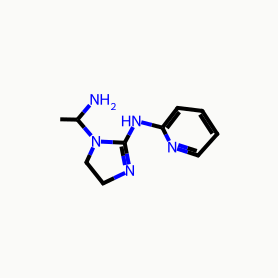 CC(N)N1CCN=C1Nc1ccccn1